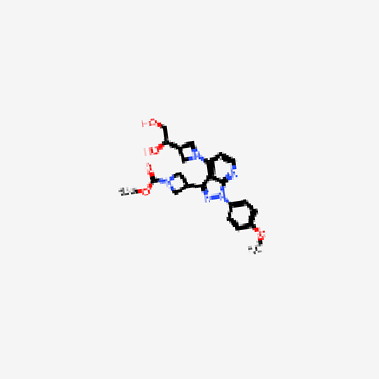 CC(C)(C)OC(=O)N1CC(c2nn(-c3ccc(OC(F)(F)F)cc3)c3nccc(N4CC(C(O)CO)C4)c23)C1